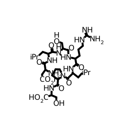 CC(C)CC(NC(=O)C(N)CC(=O)O)C(=O)NC(CO)C(=O)NC(CCCNC(=N)N)C(=O)NC(CC(C)C)C(=O)N1CCCC1C(=O)NC(CO)C(=O)O